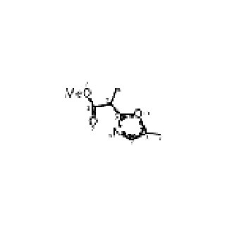 COC(=O)C(C)c1ncc(C)o1